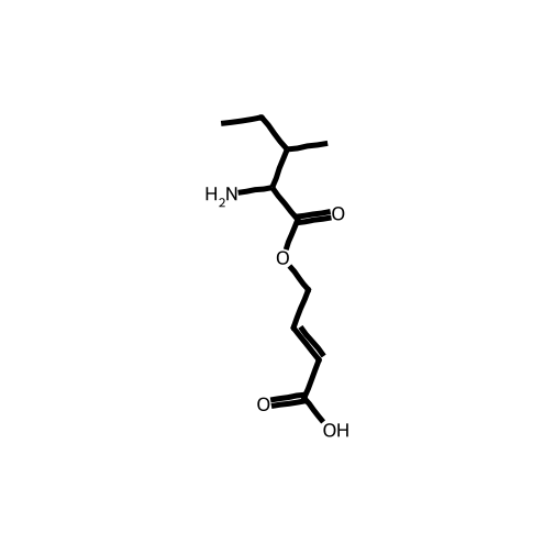 CCC(C)C(N)C(=O)OCC=CC(=O)O